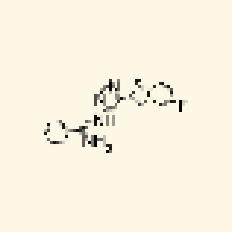 N[C@@H](CNc1cc(-c2cc3cc(F)ccc3s2)ncn1)c1ccccc1